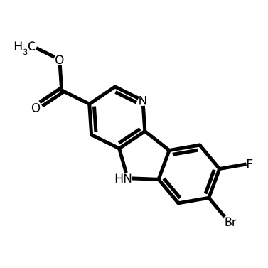 COC(=O)c1cnc2c(c1)[nH]c1cc(Br)c(F)cc12